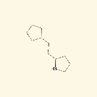 C1CCC(CCC2CCCN2)C1